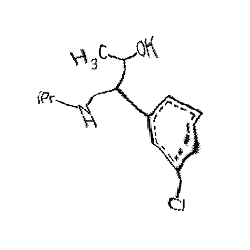 CC(C)NC(c1cccc(Cl)c1)C(C)O